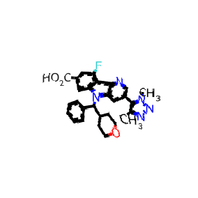 Cc1nnn(C)c1-c1cnc2c3c(F)cc(C(=O)O)cc3n(C(c3ccccc3)C3CCOCC3)c2c1